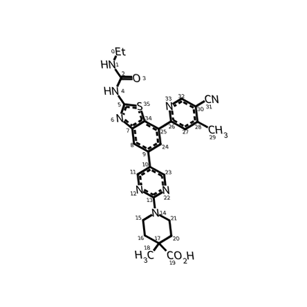 CCNC(=O)Nc1nc2cc(-c3cnc(N4CCC(C)(C(=O)O)CC4)nc3)cc(-c3cc(C)c(C#N)cn3)c2s1